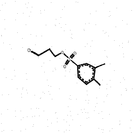 Cc1ccc(S(=O)(=O)OCCC[O])cc1C